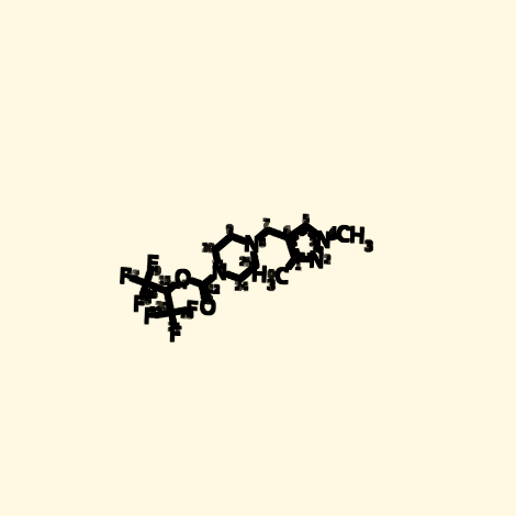 Cc1nn(C)cc1CN1CCN(C(=O)OC(C(F)(F)F)C(F)(F)F)CC1